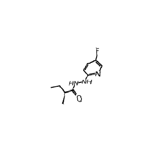 CC[C@H](C)C(=O)NNc1ccc(F)cn1